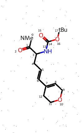 CNC(=O)C(C/C=C/C1=CCOCC1)NC(=O)OC(C)(C)C